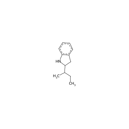 CCC(C)C1Cc2ccccc2N1